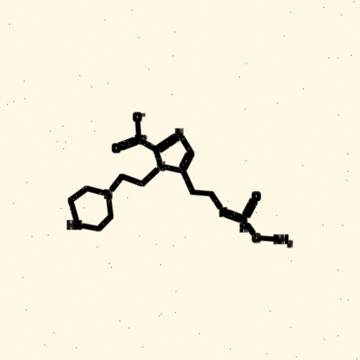 NO[SH](=O)=NCCc1cnc([N+](=O)[O-])n1CCN1CCNCC1